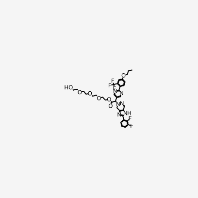 CCCOc1ccc(-c2ncc(C(C(=O)OCCOCCOCCOCCO)N3Cc4nc(-c5cccc(F)c5F)[nH]c4C=N3)cn2)c(C(F)(F)F)c1